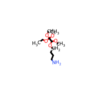 CCOC(OC)(OC)C(OC)O[SiH2]CCCN